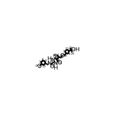 COc1cccc(CNC(=O)c2nc3scc(COCC4CCC(C(C)(C)O)C4)c3c(=O)[nH]2)c1